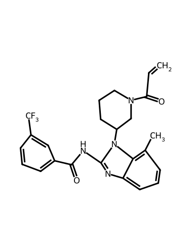 C=CC(=O)N1CCCC(n2c(NC(=O)c3cccc(C(F)(F)F)c3)nc3cccc(C)c32)C1